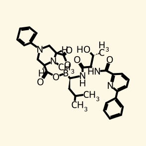 CC(C)C[C@H](NC(=O)C(NC(=O)c1cccc(-c2ccccc2)n1)[C@@H](C)O)B1OC(=O)[C@H]2CN(c3ccccc3)C[C@H](C(=O)O1)N2C